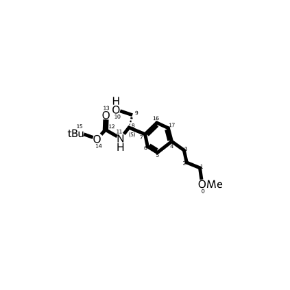 COCCCc1ccc([C@@H](CO)NC(=O)OC(C)(C)C)cc1